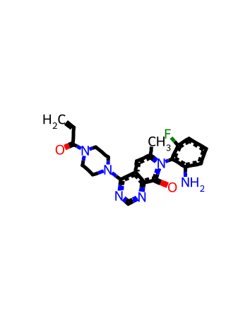 C=CC(=O)N1CCN(c2ncnc3c(=O)n(-c4c(N)cccc4F)c(C)cc23)CC1